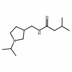 CC(C)CC(=O)NCC1CCN(C(C)C)C1